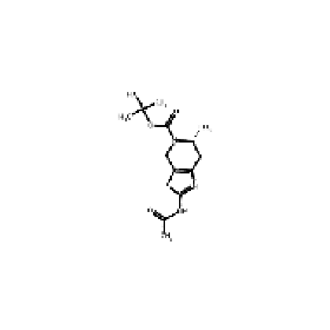 CC(=O)Nc1nc2c(s1)CN(C(=O)OC(C)(C)C)[C@H](C)C2